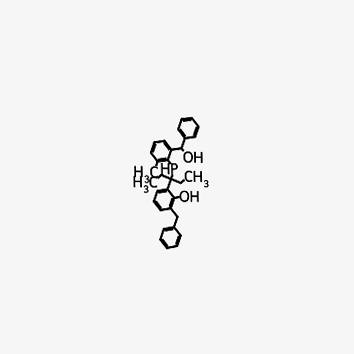 CCC(CC)(Pc1c(C)cccc1C(O)c1ccccc1)c1cccc(Cc2ccccc2)c1O